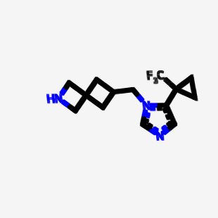 FC(F)(F)C1(c2cncn2CC2CC3(CNC3)C2)CC1